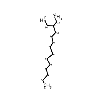 CCCCCCCCCCCC(CC)CS